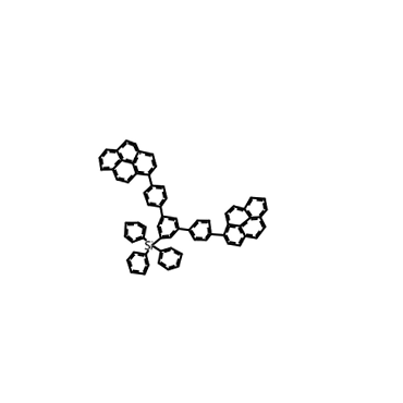 c1ccc([Si](c2ccccc2)(c2ccccc2)c2cc(-c3ccc(-c4ccc5ccc6cccc7ccc4c5c67)cc3)cc(-c3ccc(-c4ccc5ccc6cccc7ccc4c5c67)cc3)c2)cc1